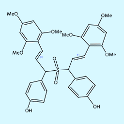 COc1cc(OC)c(/C=C/C(c2ccc(O)cc2)S(=O)(=O)C(/C=C/c2c(OC)cc(OC)cc2OC)c2ccc(O)cc2)c(OC)c1